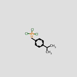 CC(C)c1ccc(C[PH](Cl)(Cl)Cl)cc1